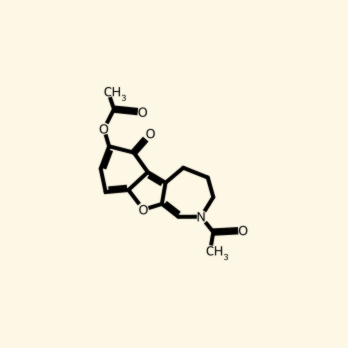 CC(=O)OC1=CC=c2oc3c(c2C1=O)CCCN(C(C)=O)C=3